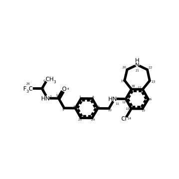 CC(NC(=O)Cc1ccc(CNc2c(Cl)ccc3c2CCNCC3)cc1)C(F)(F)F